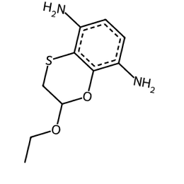 CCOC1CSc2c(N)ccc(N)c2O1